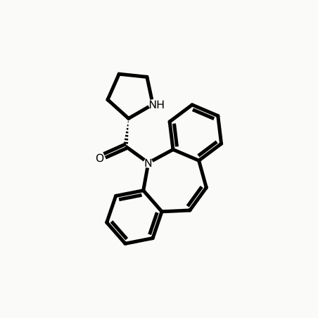 O=C([C@@H]1CCCN1)N1c2ccccc2C=Cc2ccccc21